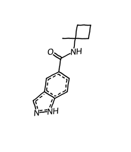 CC1(NC(=O)c2ccc3[nH]ncc3c2)CCC1